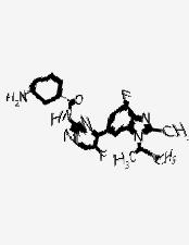 Cc1nc2c(F)cc(-c3nc(NC(=O)[C@H]4CCC[C@@H](N)C4)ncc3F)cc2n1C(C)C